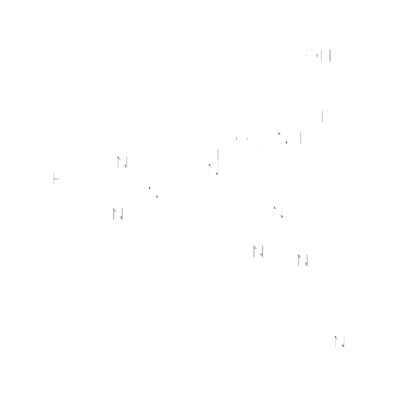 CC(C)(O)C(F)CNC(=O)c1cnc(-n2ccc3cc(C#N)cnc32)cc1NC1CCN(c2ncc(F)cn2)C1